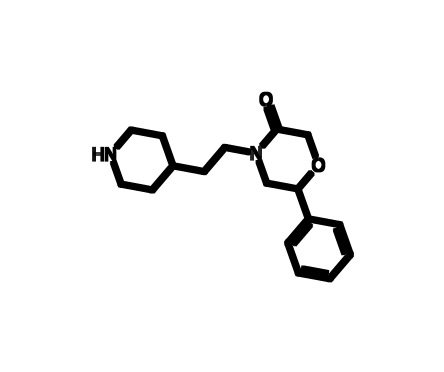 O=C1COC(c2ccccc2)CN1CCC1CCNCC1